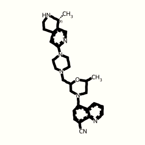 CC1CN(c2ccc(C#N)c3ncccc23)CC(CN2CCN(c3cc4c(cn3)[C@@H](C)NCC4)CC2)O1